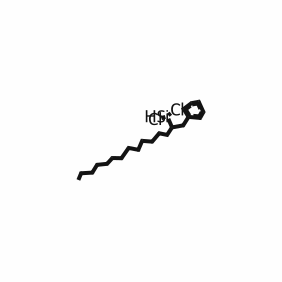 CCCCCCCCCCCCCC(Cc1ccccc1)[SiH](Cl)Cl